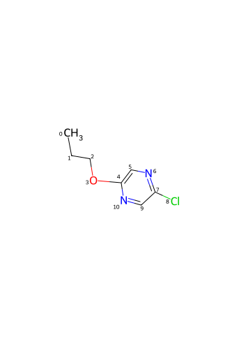 CCCOc1cnc(Cl)cn1